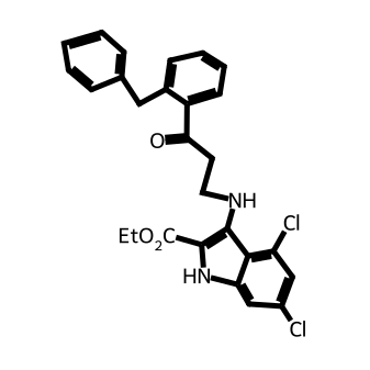 CCOC(=O)c1[nH]c2cc(Cl)cc(Cl)c2c1NCCC(=O)c1ccccc1Cc1ccccc1